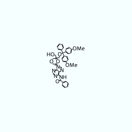 COc1ccc(C(OC[C@]2(CO)COC[C@H](n3cnc4c(NC(=O)c5ccccc5)ncnc43)O2)(c2ccccc2)c2ccc(OC)cc2)cc1